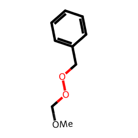 COCOOCc1ccccc1